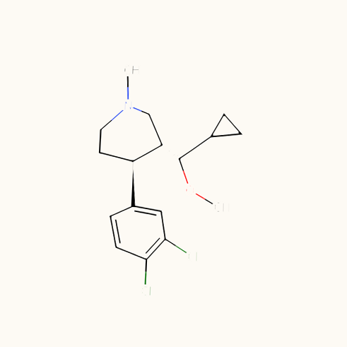 COC(C1CC1)[C@H]1CN(C)CC[C@@H]1c1ccc(Cl)c(Cl)c1